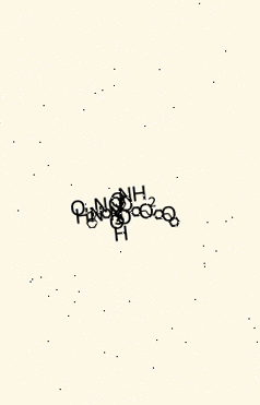 NC(=O)O[C@@H](Cc1ccc(OCc2ccc(Oc3ccccc3)cc2)cc1)C(=O)N(c1ccc(NC2CCCCC2)c([N+](=O)[O-])c1)[SH](=O)=O